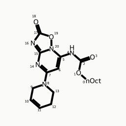 CCCCCCCCOC(=O)Nc1cc(N2CC=CCC2)nc2nc(=O)on12